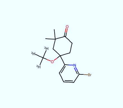 [2H]C([2H])([2H])OC1(c2cccc(Br)n2)CCC(=O)C(C)(C)C1